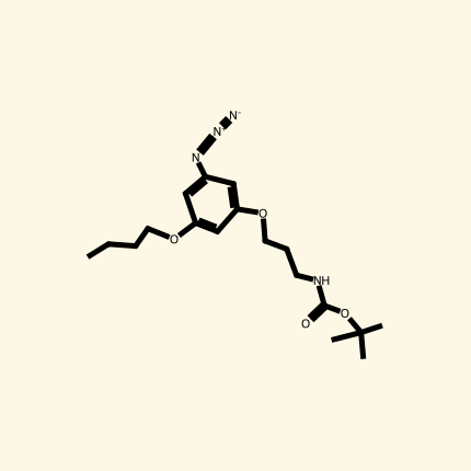 CCCCOc1cc(N=[N+]=[N-])cc(OCCCNC(=O)OC(C)(C)C)c1